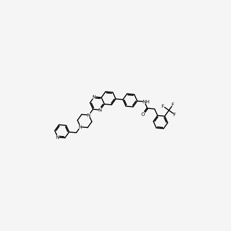 O=C(Cc1ccccc1C(F)(F)F)Nc1ccc(-c2ccc3ncc(N4CCN(Cc5cccnc5)CC4)nc3c2)cc1